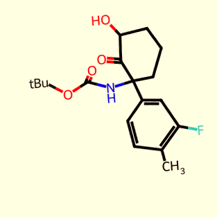 Cc1ccc(C2(NC(=O)OC(C)(C)C)CCCC(O)C2=O)cc1F